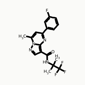 Cc1cc(-c2cccc(F)c2)nc2c(C(=O)NC(C)(C)C(F)(F)F)cnn12